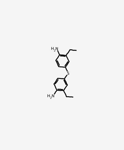 CCc1cc(Sc2ccc(N)c(CC)c2)ccc1N